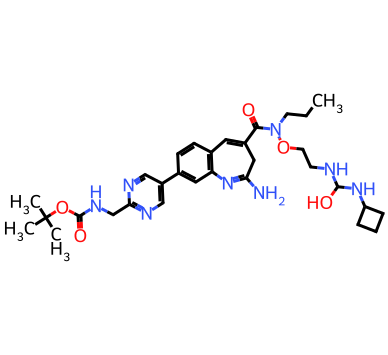 CCCN(OCCNC(O)NC1CCC1)C(=O)C1=Cc2ccc(-c3cnc(CNC(=O)OC(C)(C)C)nc3)cc2N=C(N)C1